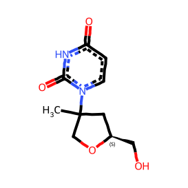 CC1(n2ccc(=O)[nH]c2=O)CO[C@H](CO)C1